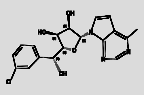 Cc1ncnc2c1ccn2[C@@H]1O[C@H]([C@H](O)c2cccc(Cl)c2)[C@@H](O)[C@H]1O